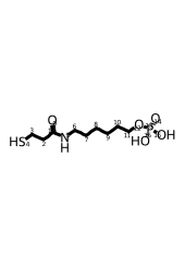 O=C(CCS)NCCCCCCOP(=O)(O)O